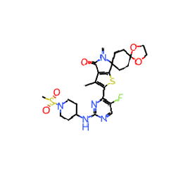 Cc1c(-c2nc(NC3CCN(S(C)(=O)=O)CC3)ncc2F)sc2c1C(=O)N(C)C21CCC2(CC1)OCCO2